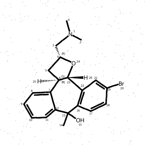 CN(C)C[C@H]1C[C@@H]2c3ccccc3C(C)(O)c3ccc(Br)cc3[C@H]2O1